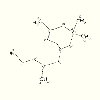 CC(C)CCC(C)CC1CC(C)C[N+](C)(C)C1